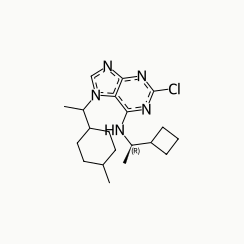 CC1CCC(C(C)n2cnc3nc(Cl)nc(N[C@H](C)C4CCC4)c32)CC1